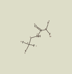 O=C(NCC(F)(F)F)C(F)F